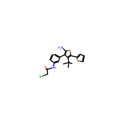 CC(C)(C)c1c(-c2cccs2)sc(N)c1-c1cccc(NC(=O)CBr)c1